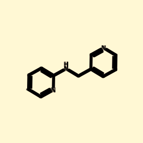 [c]1ccc(NCc2cccnc2)nc1